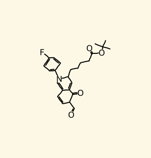 CC(C)(C)OC(=O)CCCCC1C=C2C(=O)C(C=O)C=CC2=CN1c1ccc(F)cc1